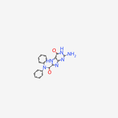 Nc1nc2nc(C(=O)N(c3ccccc3)c3ccccc3)[nH]c2c(=O)[nH]1